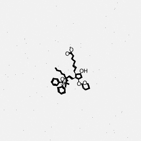 CCCCCC(C)(C=C[C@H]1[C@@H](CC=CCCCC(=O)OC)[C@H](O)C[C@H]1OC1CCCCO1)O[Si](c1ccccc1)(c1ccccc1)C(C)(C)C